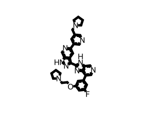 Fc1cc(OCCN2CCCC2)cc(-c2cncc3[nH]c(-c4n[nH]c5cnc(-c6cncc(CN7CCCC7)c6)cc45)nc23)c1